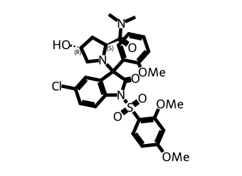 COc1ccc(S(=O)(=O)N2C(=O)C(c3ccccc3OC)(N3C[C@H](O)C[C@H]3C(=O)N(C)C)c3cc(Cl)ccc32)c(OC)c1